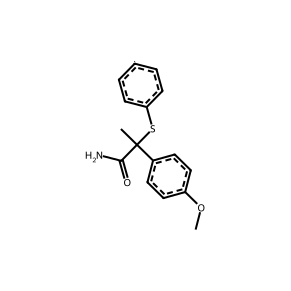 COc1ccc(C(C)(Sc2cc[c]cc2)C(N)=O)cc1